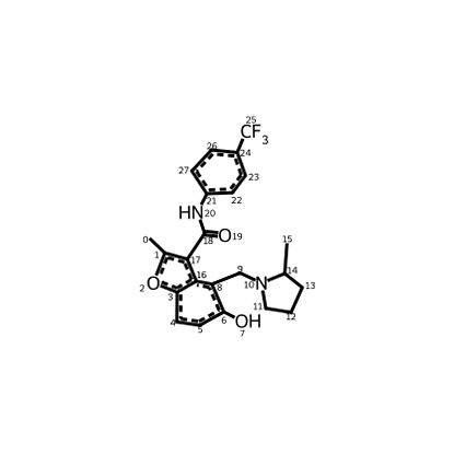 Cc1oc2ccc(O)c(CN3CCCC3C)c2c1C(=O)Nc1ccc(C(F)(F)F)cc1